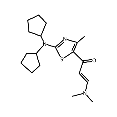 Cc1nc(N(C2CCCC2)C2CCCC2)sc1C(=O)/C=C/N(C)C